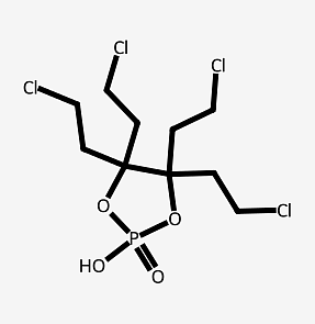 O=P1(O)OC(CCCl)(CCCl)C(CCCl)(CCCl)O1